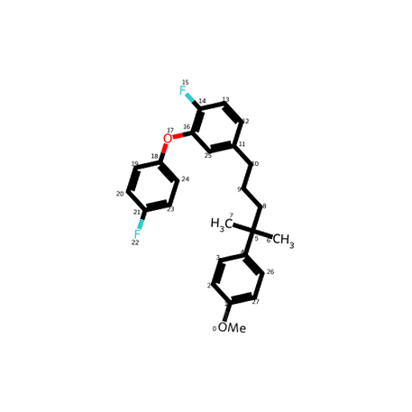 COc1ccc(C(C)(C)CCCc2ccc(F)c(Oc3ccc(F)cc3)c2)cc1